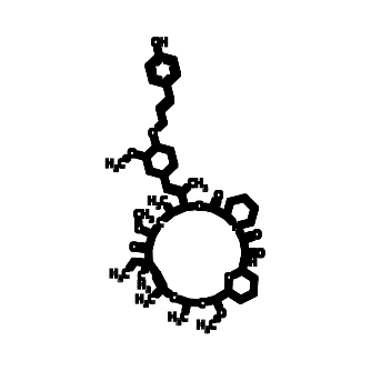 CCC1(C)/C=C(\C)CC(C)CC(OC)C2CCCC(O)(O2)C(=O)C(=O)N2CCCCC2C(=O)OC(C(C)=CC2CCC(OCC=Cc3ccc(O)cc3)C(OC)C2)C(C)CC(OC)C1=O